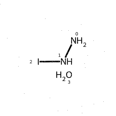 NNI.O